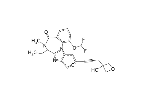 CCC1c2nc3ccc(C#CCC4(O)COC4)cc3n2-c2c(OC(F)F)cccc2C(=O)N1C